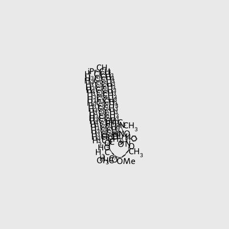 CO[C@H]1/C=C\C=C(/C)C(=O)NC2=C(c3ccccc3)C(=O)C(NCCN(C)C)=C(C[C@@H](C)C[C@H](OC(C)(C)C(C)(C)C(C)(C)C(C)(C)C(C)(C)C(C)(C)C(C)(C)C(C)(C)C(C)(C)C(C)(C)C(C)(C)C(C)(C)C(C)(C)C(C)(C)C(C)(C)C(C)(C)C(C)(C)C(C)(C)C(C)(C)C(C)(C)C(C)(C)C(C)(C)C(C)(C)C(C)C)[C@H](O)[C@@H](C)/C=C(\C)[C@@H]1OC=O)C2=O